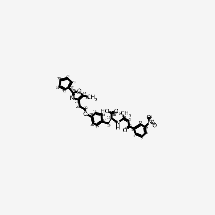 C/C(=C/C(=O)c1cccc([N+](=O)[O-])c1)N[C@@H](Cc1ccc(OCCc2nc(-c3ccccc3)oc2C)cc1)C(=O)O